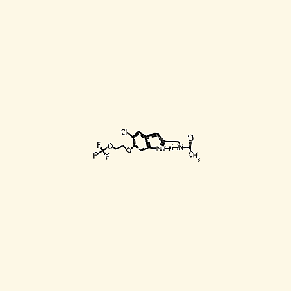 CC(=O)NCc1cc2cc(Cl)c(OCCOC(F)(F)F)cc2[nH]1